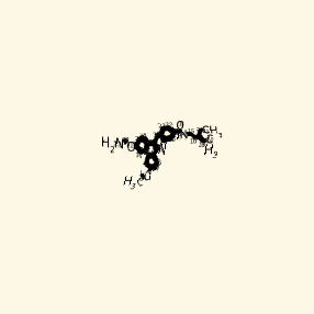 CCOc1ccc(-c2nc3cc(C(=O)NCCC(CC)CC)ccc3cc2-c2ccc(OCN)cc2)cc1